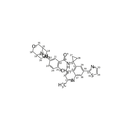 Cc1ccc2c(C3(NC(=O)c4cc(N5CC6COCC(C5)N6C)ccc4C)CC3)cc(-c3nccs3)cc2n1